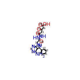 Nc1ncnc2c1c(-c1ccccc1)nn2CC(=O)NNC(=O)CC(=O)CC(=O)O